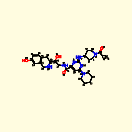 CC(=O)N1CCC(Nc2nc(C(=O)NC[C@@H](O)[C@@H]3Cc4ccc(O)cc4CN3)cc(N3CCCCC3)n2)CC1